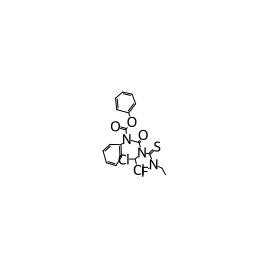 CCN(F)C(=S)N(C(=O)N(C(=O)Oc1ccccc1)c1ccccc1)C(Cl)Cl